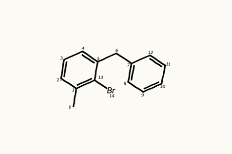 Cc1[c]ccc(Cc2ccccc2)c1Br